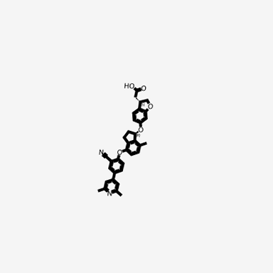 Cc1cc(-c2ccc(Oc3ccc(C)c4c3CC[C@H]4Oc3ccc4c(c3)OC[C@H]4CC(=O)O)c(C#N)c2)cc(C)n1